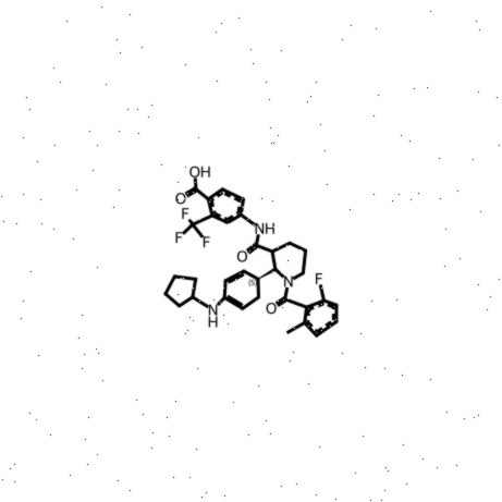 Cc1cccc(F)c1C(=O)N1CCCC(C(=O)Nc2ccc(C(=O)O)c(C(F)(F)F)c2)C1[C@@H]1C=CC(NC2CCCC2)=CC1